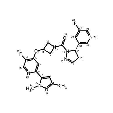 Cc1cc(-c2cc(OC3CN(C(=O)N4N=CC[C@H]4c4cncc(F)c4)C3)c(F)cn2)n(C)n1